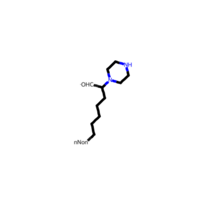 CCCCCCCCCCCCCCC([C]=O)N1CCNCC1